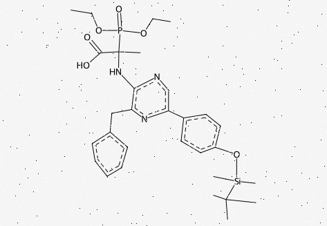 CCOP(=O)(OCC)C(C)(Nc1ncc(-c2ccc(O[Si](C)(C)C(C)(C)C)cc2)nc1Cc1ccccc1)C(=O)O